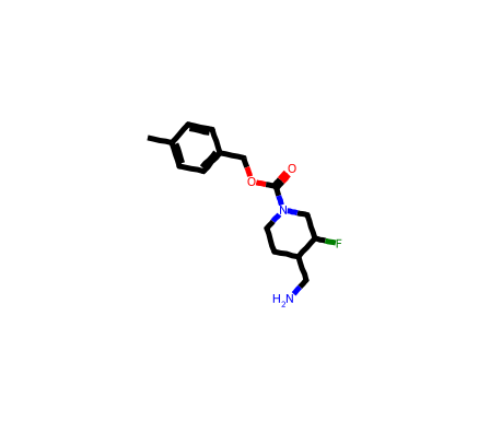 Cc1ccc(COC(=O)N2CCC(CN)C(F)C2)cc1